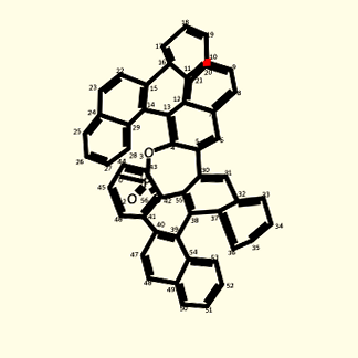 CP1(=O)Oc2c(cc3ccccc3c2-c2c(-c3ccccc3)ccc3ccccc23)-c2cc3ccccc3c(-c3c(-c4ccccc4)ccc4ccccc34)c2O1